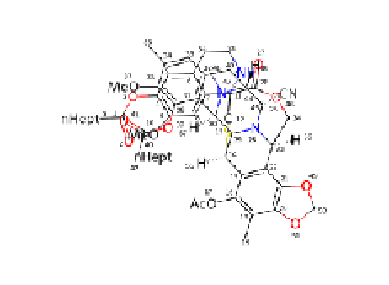 CCCCCCCC(=O)Oc1cc2c(cc1OC)[C@@]1(CS[C@@H]3c4c(OC(C)=O)c(C)c5c(c4[C@H](COC1=O)N1C3[C@H]3c4c(cc(C)c(OC)c4OC(=O)CCCCCCC)C[C@H]([C@@H]1C#N)N3C)OCO5)NCC2